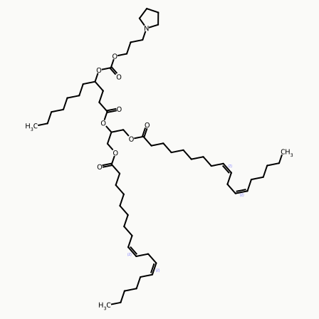 CCCCC/C=C\C/C=C\CCCCCCCC(=O)OCC(COC(=O)CCCCCCC/C=C\C/C=C\CCCCC)OC(=O)CCC(CCCCCCC)OC(=O)OCCCN1CCCC1